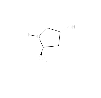 O=C(O)[C@@H]1C[C@@H](O)CN1I